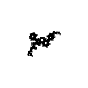 CCCCC(=O)Nc1oc(-c2cccc(-c3ccc(OC)cc3)c2O)nc1-c1cccnc1